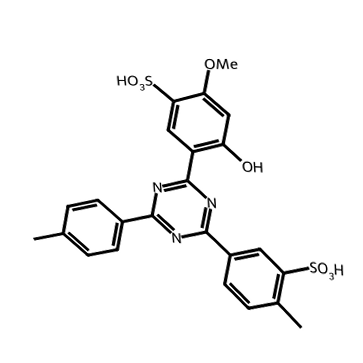 COc1cc(O)c(-c2nc(-c3ccc(C)cc3)nc(-c3ccc(C)c(S(=O)(=O)O)c3)n2)cc1S(=O)(=O)O